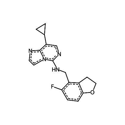 Fc1ccc2c(c1CNc1ncc(C3CC3)c3nccn13)CCO2